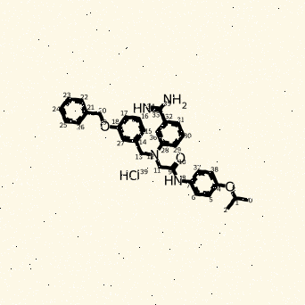 CC(C)Oc1ccc(NC(=O)CN(Cc2cccc(OCc3ccccc3)c2)c2cccc(C(=N)N)c2)cc1.Cl